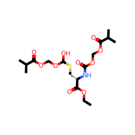 CCOC(=O)[C@H](CSC(O)OCOC(=O)C(C)C)NC(=O)OCOC(=O)C(C)C